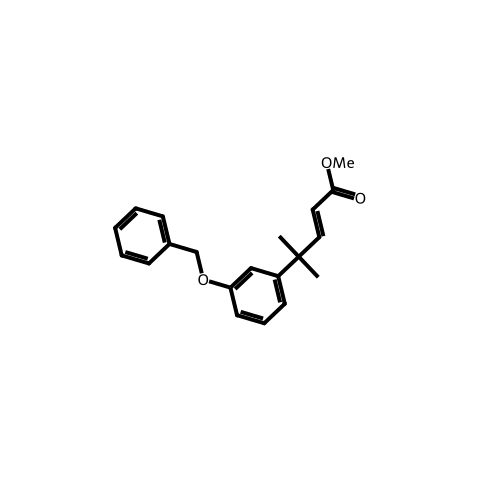 COC(=O)C=CC(C)(C)c1cccc(OCc2ccccc2)c1